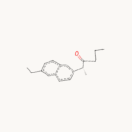 CCCC(=O)[C@H](C)c1ccc2cc(CC)ccc2c1